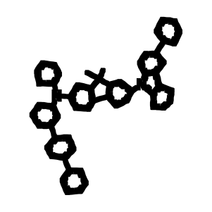 CC1(C)c2cc(N(c3ccccc3)c3cccc(-c4ccc(-c5ccccc5)cc4)c3)ccc2-c2ccc(-n3c4ccccc4c4cc(-c5ccccc5)ccc43)cc21